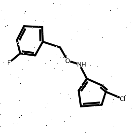 Fc1cccc(CONc2cccc(Cl)c2)c1